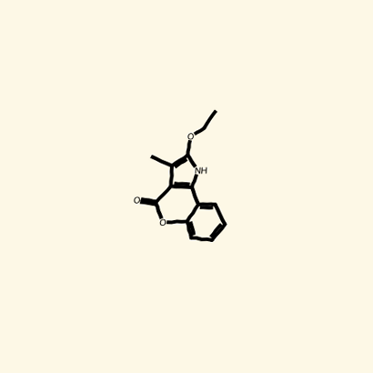 CCOc1[nH]c2c(c1C)c(=O)oc1ccccc12